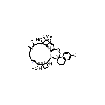 COC(=O)[C@]1(O)CC(=O)N(C)CC/C=C/[C@H](O)[C@@H]2CC[C@H]2CN2C[C@@]3(CCCc4cc(Cl)ccc43)COc3ccc1nc32